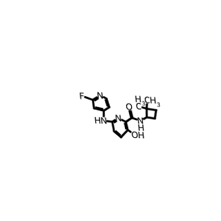 CC1(C)CCC1NC(=O)c1nc(Nc2ccnc(F)c2)ccc1O